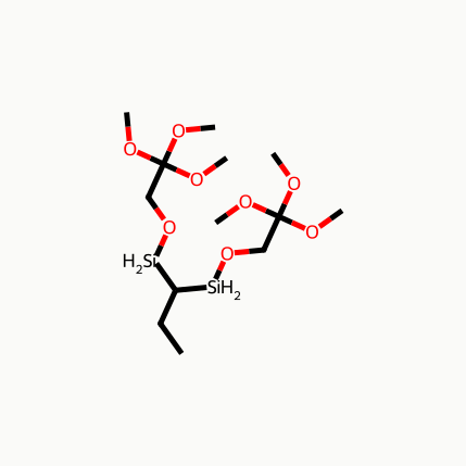 CCC([SiH2]OCC(OC)(OC)OC)[SiH2]OCC(OC)(OC)OC